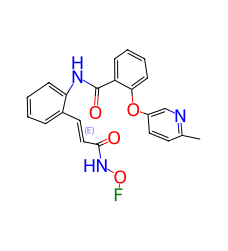 Cc1ccc(Oc2ccccc2C(=O)Nc2ccccc2/C=C/C(=O)NOF)cn1